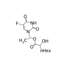 CCCCCCC(O)C(=O)OC(C)n1cc(F)c(=O)[nH]c1=O